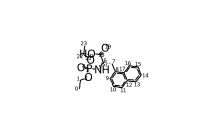 CCOP(=O)(N[C@@H](Cc1cccc2ccccc12)C(=O)O)OCC